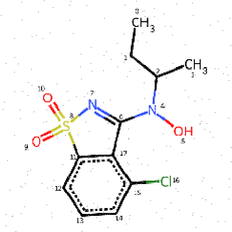 CCC(C)N(O)C1=NS(=O)(=O)c2cccc(Cl)c21